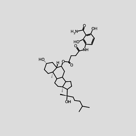 CC(C)CCC[C@](C)(O)C1CCC2C3C[C@H](OC(=O)CCC(=O)Nc4ccc(O)c(C(N)=O)c4O)[C@H]4C[C@@H](O)CC[C@]4(C)C3CC[C@@]21C